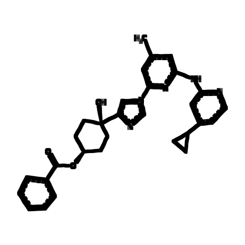 Cc1cc(Nc2cc(C3CC3)ccn2)nc(-n2cnc([C@]3(O)CC[C@@H](OC(=O)c4ccccc4)CC3)c2)c1